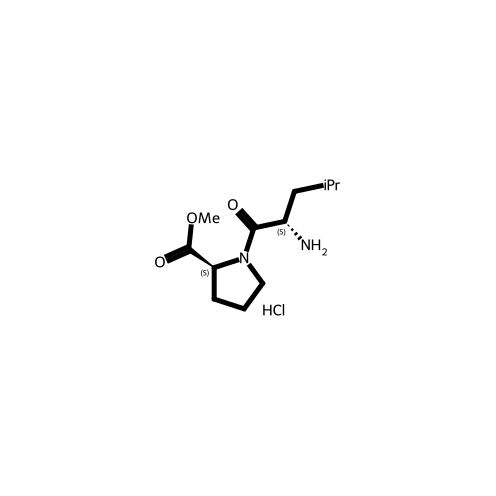 COC(=O)[C@@H]1CCCN1C(=O)[C@@H](N)CC(C)C.Cl